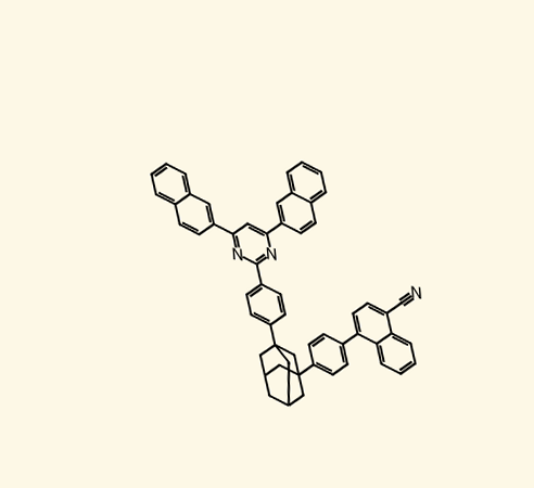 N#Cc1ccc(-c2ccc(C34CC5CC(CC(c6ccc(-c7nc(-c8ccc9ccccc9c8)cc(-c8ccc9ccccc9c8)n7)cc6)(C5)C3)C4)cc2)c2ccccc12